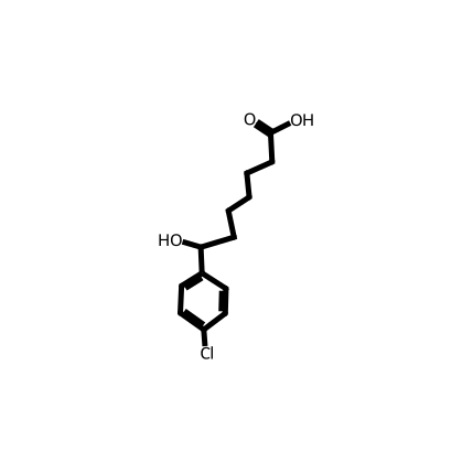 O=C(O)CCCCCC(O)c1ccc(Cl)cc1